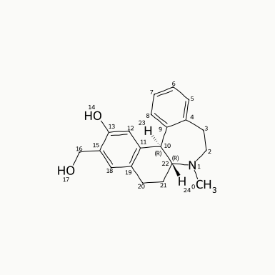 CN1CCc2ccccc2[C@@H]2c3cc(O)c(CO)cc3CC[C@H]21